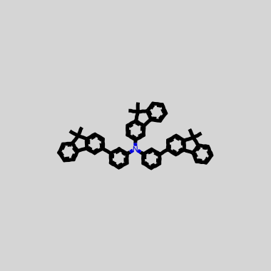 CC1(C)c2ccccc2-c2cc(-c3cccc(N(c4cccc(-c5ccc6c(c5)-c5ccccc5C6(C)C)c4)c4ccc5c(c4)-c4ccccc4C5(C)C)c3)ccc21